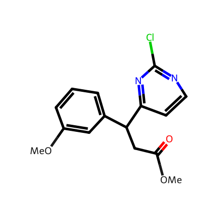 COC(=O)CC(c1cccc(OC)c1)c1ccnc(Cl)n1